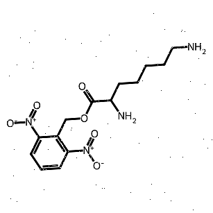 NCCCCCC(N)C(=O)OCc1c([N+](=O)[O-])cccc1[N+](=O)[O-]